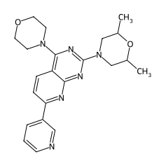 CC1CN(c2nc(N3CCOCC3)c3ccc(-c4cccnc4)nc3n2)CC(C)O1